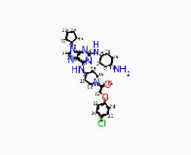 N[C@H]1CC[C@H](Nc2nc(NC3CCN(C(=O)COc4ccc(Cl)cc4)CC3)c3ncn(C4CCCC4)c3n2)CC1